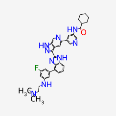 CN(C)CCNc1cc(F)cc(-c2cccc3[nH]c(-c4n[nH]c5cnc(-c6cncc(NC(=O)C7CCCCC7)c6)cc45)nc23)c1